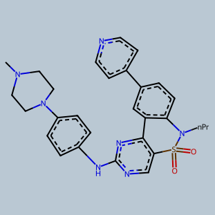 CCCN1c2ccc(-c3ccncc3)cc2-c2nc(Nc3ccc(N4CCN(C)CC4)cc3)ncc2S1(=O)=O